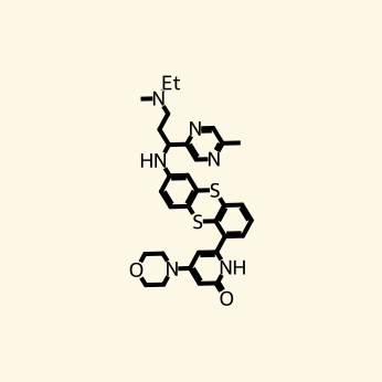 CCN(C)CCC(Nc1ccc2c(c1)Sc1cccc(-c3cc(N4CCOCC4)cc(=O)[nH]3)c1S2)c1cnc(C)cn1